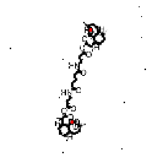 C[C@H]1[C@H](OC(=O)CCNC(=O)CCCC(=O)NCCC(=O)O[C@@H]2O[C@@H]3O[C@@]4(C)CC[C@H]5[C@H](C)CC[C@@H]([C@H]2C)[C@@]35OO4)O[C@@H]2O[C@@]3(C)CC[C@H]4[C@H](C)CC[C@@H]1[C@@]24OO3